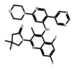 Cc1c(N2CC(C)(C)CC2=O)nc2cc(F)cc(F)c2c1Nc1cc(N2CCOCC2)ncc1-c1cncnc1